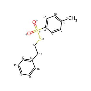 Cc1ccc(S(=O)(=O)SCCc2ccccc2)cc1